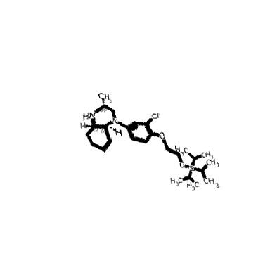 CC(C)[Si](OCCOc1ccc(N2C[C@@H](C)N[C@H]3CCCC[C@@H]32)cc1Cl)(C(C)C)C(C)C